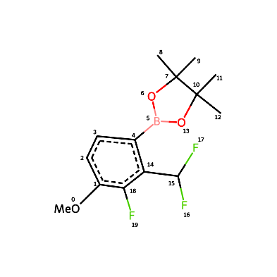 COc1ccc(B2OC(C)(C)C(C)(C)O2)c(C(F)F)c1F